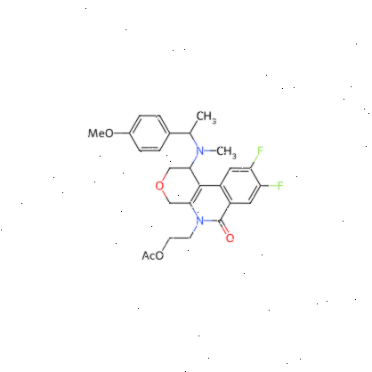 COc1ccc(C(C)N(C)C2COCc3c2c2cc(F)c(F)cc2c(=O)n3CCOC(C)=O)cc1